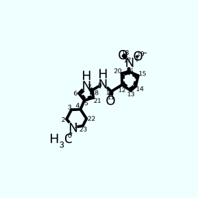 CN1CCC(c2c[nH]c(NC(=O)c3cccc([N+](=O)[O-])c3)c2)CC1